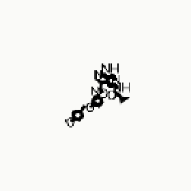 CNc1ncc(-c2nc3cc(OCc4ccc(OC)cc4)ccc3o2)c2cc(NC(=O)C3CC3)ncc12